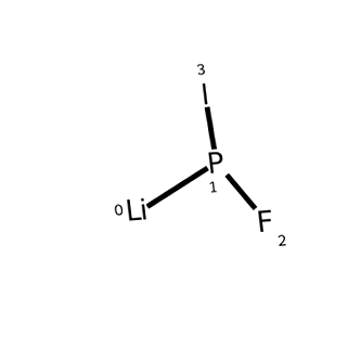 [Li][P](F)I